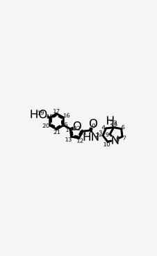 O=C(N[C@@H]1C[C@@H]2CCN(C2)C1)c1ccc(-c2ccc(O)cc2)o1